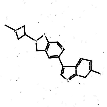 CN1CC(N2Cc3cc(C4=CN=C5CC(F)=CC=C45)ccc3S2)C1